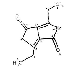 CCC1=C2C(=O)NC(CC)=C2C(=O)C1